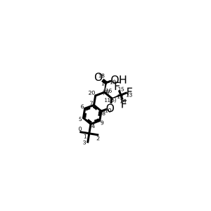 CC(C)(C)c1ccc2c(c1)O[C@H](C(F)(F)F)[C@H](C(=O)O)C2